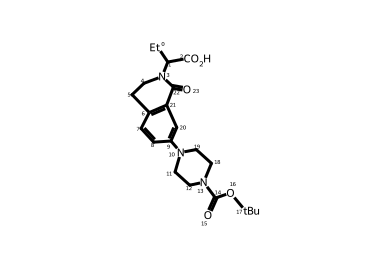 CCC(C(=O)O)N1CCc2ccc(N3CCN(C(=O)OC(C)(C)C)CC3)cc2C1=O